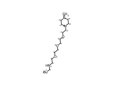 CCC(C)CNCCOCCOCCOCCN1CCN(C)CC1